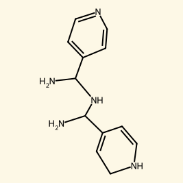 NC(NC(N)c1ccncc1)C1=CCNC=C1